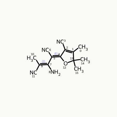 CC1=C(C#N)/C(=C(C#N)/C(N)=C(\C)C#N)OC1(C)C